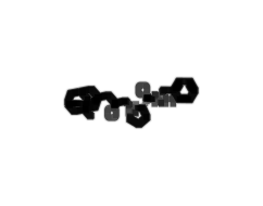 CC12CC3CC(C1)CC(CC(=O)CN1CCC[C@H]1C(=O)NCc1ccccc1)(C3)C2